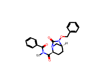 CCN(C(=O)c1ccccc1)C(=O)[C@@H]1CC[C@H]2CN1C(=O)N2OCc1ccccc1